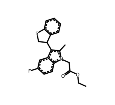 CCOC(=O)Cn1c(C)c(C2CSc3ccccc32)c2cc(F)ccc21